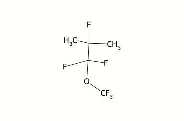 CC(C)(F)C(F)(F)OC(F)(F)F